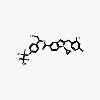 BC(B)(O)C(B)(O)Sc1ccc(C(CO)NC(=O)c2ccc3c(c2)cc(Cc2ccc(Cl)cc2C(F)(F)F)n3C2CC2)cc1